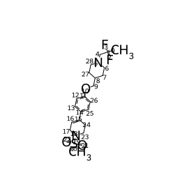 CC(F)(F)CN1CCC(COc2ccc(C3=CCN(S(C)(=O)=O)CC3)cc2)CC1